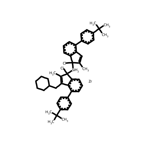 CC1=Cc2c(-c3ccc(C(C)(C)C)cc3)cccc2C1(Cl)[SiH2]C1(Cl)C(C)=C(CC2CCCCC2)c2c(-c3ccc(C(C)(C)C)cc3)cccc21.[Zr]